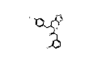 O=C(Cc1cccc(Cl)c1)NC(Cc1ccc(C(F)(F)F)cc1)Cc1nnn[nH]1